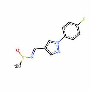 CC(C)(C)[S@@+]([O-])/N=C/c1cnn(-c2ccc(F)cc2)c1